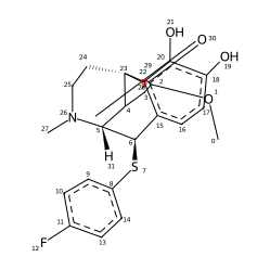 COC1=CC2[C@@H]3[C@H](Sc4ccc(F)cc4)c4ccc(O)c(O)c4[C@]2(CCN3C)CC1=O